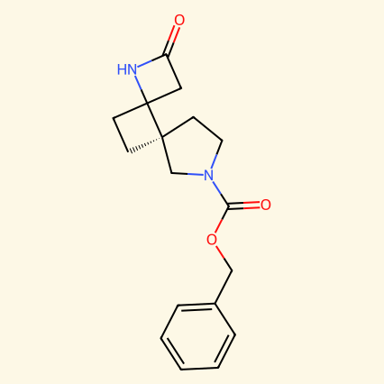 O=C1CC2(CC[C@@]23CCN(C(=O)OCc2ccccc2)C3)N1